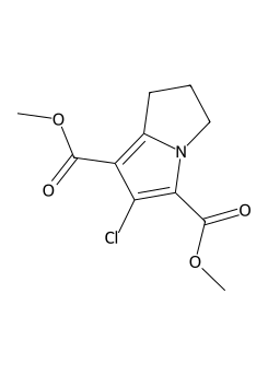 COC(=O)c1c(Cl)c(C(=O)OC)n2c1CCC2